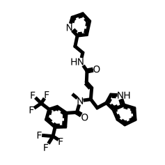 CN(C(=O)c1cc(C(F)(F)F)cc(C(F)(F)F)c1)C(C=CC(=O)NCCc1ccccn1)Cc1c[nH]c2ccccc12